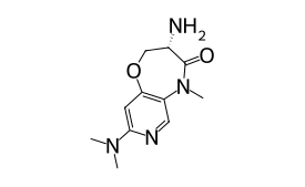 CN(C)c1cc2c(cn1)N(C)C(=O)[C@@H](N)CO2